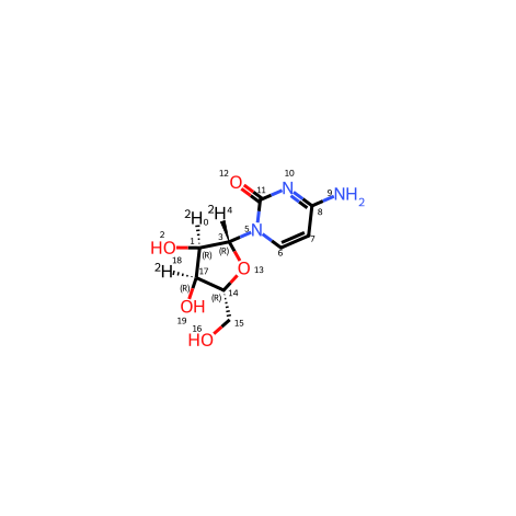 [2H][C@]1(O)[C@]([2H])(n2ccc(N)nc2=O)O[C@H](CO)[C@@]1([2H])O